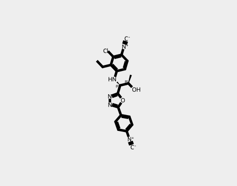 [C-]#[N+]c1ccc(-c2nnc([C@H](Nc3ccc([N+]#[C-])c(Cl)c3CC)[C@@H](C)O)o2)cc1